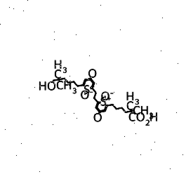 CC(C)(CO)CCCCc1cc(=O)cc(CCc2cc(=O)cc(CCCCC(C)(C)C(=O)O)[s+]2[O-])[s+]1[O-]